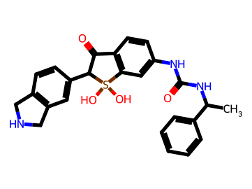 CC(NC(=O)Nc1ccc2c(c1)S(O)(O)C(c1ccc3c(c1)CNC3)C2=O)c1ccccc1